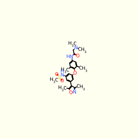 Cc1cc(NC(=O)CN(C)C)cc(C)c1Oc1cc(NS(C)(=O)=O)cc(-c2c(C)noc2C)c1